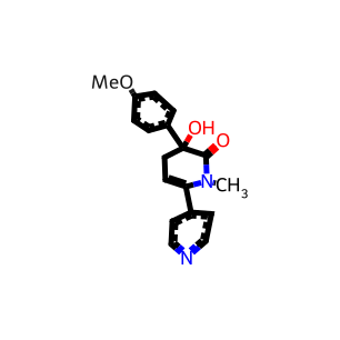 COc1ccc(C2(O)CC=C(c3ccncc3)N(C)C2=O)cc1